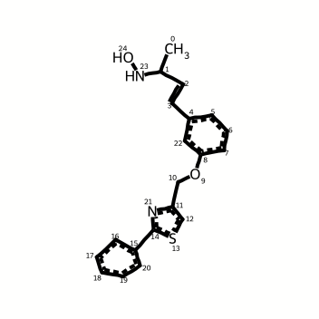 CC(C=Cc1cccc(OCc2csc(-c3ccccc3)n2)c1)NO